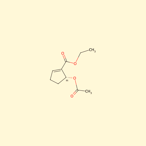 CCOC(=O)C1=CCC[C@H]1OC(C)=O